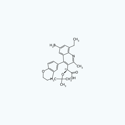 Bc1cc(CC)c2nc(C)c([C@H](OC(C)(C)C)C(=O)O)c(-c3ccc4c(c3)CCCO4)c2c1